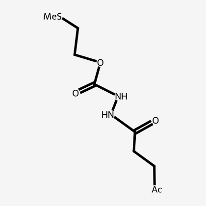 CSCCOC(=O)NNC(=O)CCC(C)=O